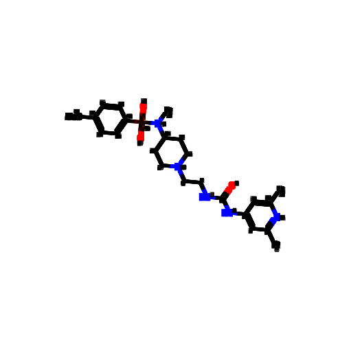 CCc1cc(NC(=O)NCCN2CCC(N(CC)S(=O)(=O)c3ccc(OC)cc3)CC2)cc(CC)n1